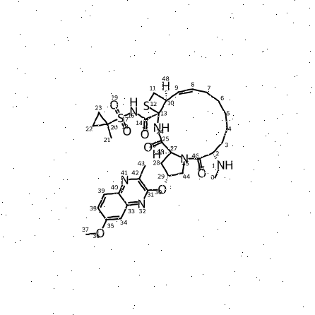 CN[C@H]1CCCCC/C=C\[C@@H]2CS[C@@]2(C(=O)NS(=O)(=O)C2(C)CC2)NC(=O)[C@@H]2C[C@@H](Oc3nc4cc(OC)ccc4nc3C)CN2C1=O